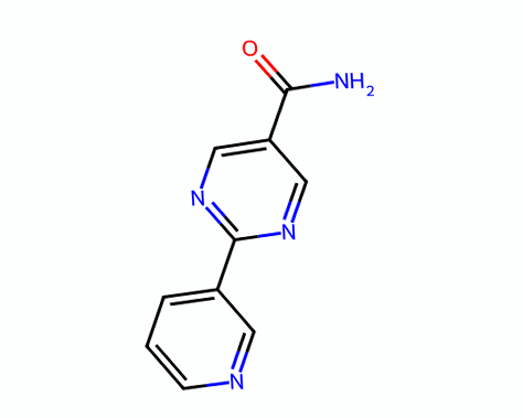 NC(=O)c1cnc(-c2cccnc2)nc1